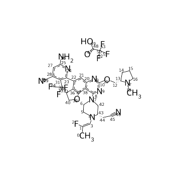 CC(F)=CN1CCN(c2nc(OC[C@@H]3CCCN3C)nc3cc(-c4nc(N)cc(C#N)c4C(F)(F)F)c4c(c23)OCC4)C[C@@H]1CC#N.O=C(O)C(F)(F)F